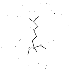 CO[Si](C)(CCOCN(C)C)OC